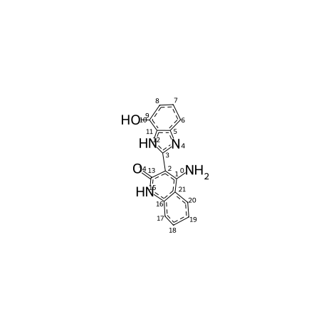 Nc1c(-c2nc3cccc(O)c3[nH]2)c(=O)[nH]c2ccccc12